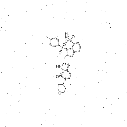 Cc1ccc(S(=O)(=O)n2c(Cc3nc4ccn(C5CCOCC5)c(=O)c4[nH]3)cc3cccc(S(N)(=O)=O)c32)cc1